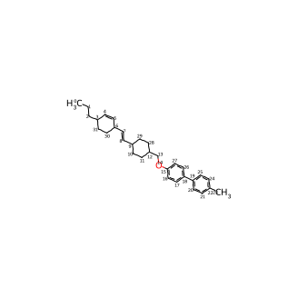 CCCC1C=CC(/C=C/C2CCC(COc3ccc(-c4ccc(C)cc4)cc3)CC2)CC1